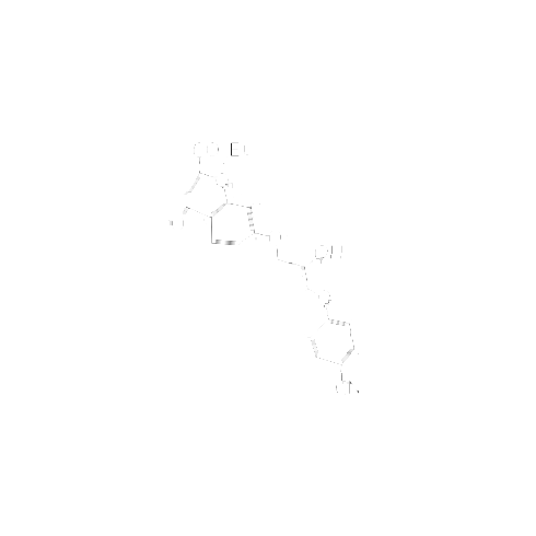 CCOC(=O)c1cc(=O)c2ccc(OCC(O)COc3ccc(C#N)cc3)cc2o1